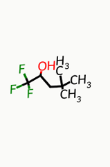 CC(C)(C)CC(O)C(F)(F)F